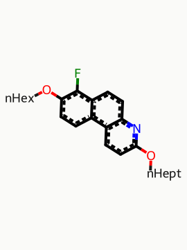 CCCCCCCOc1ccc2c(ccc3c(F)c(OCCCCCC)ccc32)n1